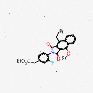 CCOC(=O)Cc1ccc(N2C(=O)c3c(c(OCC)c4ccccc4c3CC(C)C)C2=O)c(F)c1